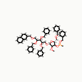 COC1C(OP(C)OCc2ccccc2)[C@@H](COCc2ccccc2)O[C@H]1OCC(OCc1ccccc1)C(OCc1ccccc1)C(COCc1ccc2ccccc2c1)OCc1ccccc1